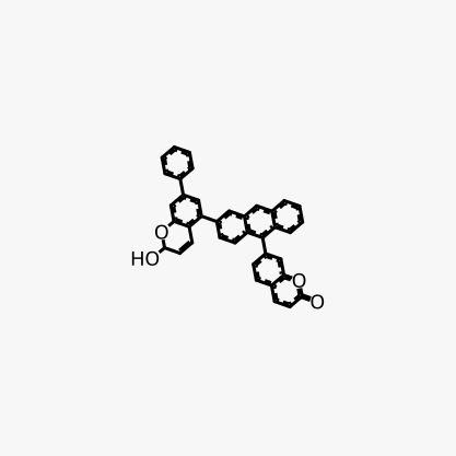 O=c1ccc2ccc(-c3c4ccccc4cc4cc(-c5cc(-c6ccccc6)cc6c5C=CC(O)O6)ccc34)cc2o1